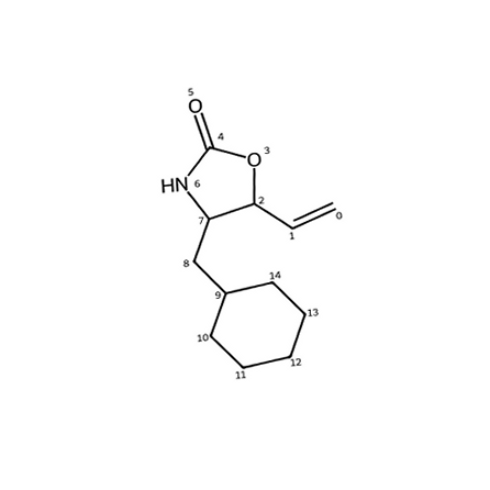 C=CC1OC(=O)NC1CC1CCCCC1